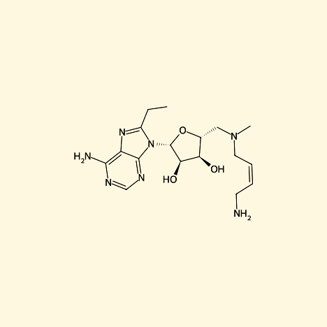 CCc1nc2c(N)ncnc2n1[C@@H]1O[C@H](CN(C)C/C=C\CN)[C@@H](O)[C@H]1O